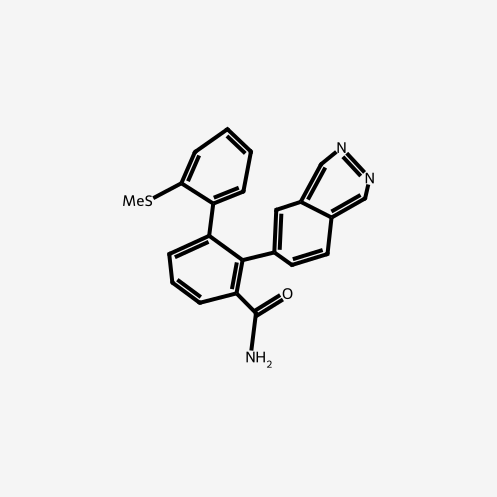 CSc1ccccc1-c1cccc(C(N)=O)c1-c1ccc2cnncc2c1